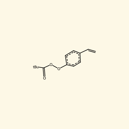 C=Cc1ccc(OOC(=O)C(C)(C)C)cc1